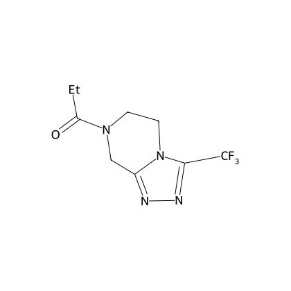 CCC(=O)N1CCn2c(nnc2C(F)(F)F)C1